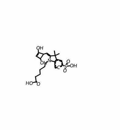 CC1(C)C(=CC2C(O)=CC2O)N(CCCCCC(=O)O)c2ccc(S(=O)(=O)O)cc21